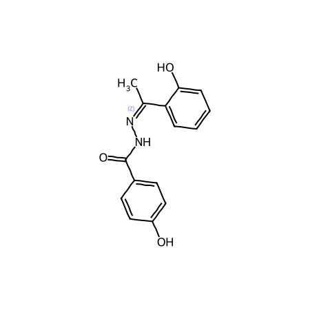 C/C(=N/NC(=O)c1ccc(O)cc1)c1ccccc1O